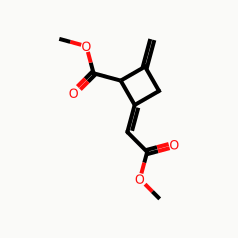 C=C1C/C(=C\C(=O)OC)C1C(=O)OC